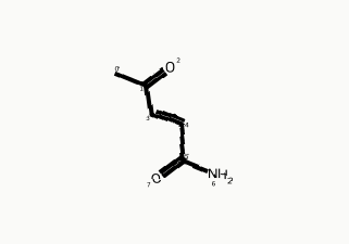 CC(=O)C=CC(N)=O